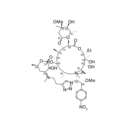 CC[C@H]1OC(=O)[C@H](C)[C@@H](O[C@H]2C[C@@](C)(OC)[C@@H](O)[C@H](C)O2)[C@H](C)[C@@H](O[C@@H]2O[C@H](C)C[C@H](N(C)CCc3cn([C@H](CF)[C@H](OC)c4ccc([N+](=O)[O-])cc4)nn3)[C@H]2O)[C@](C)(O)C[C@@H](C)CN(C)[C@H](C)[C@@H](O)[C@]1(C)O